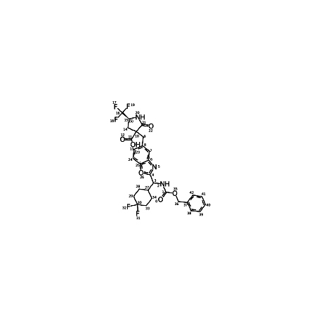 O=C(NC(c1nc2cc(CC3(C(=O)O)C[C@@H](C(F)(F)F)NC3=O)ccc2o1)C1CCC(F)(F)CC1)OCc1ccccc1